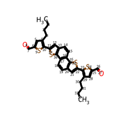 CCCCc1cc(C=O)sc1-c1cc2ccc3c(ccc4cc(-c5sc(C=O)cc5CCCC)sc43)c2s1